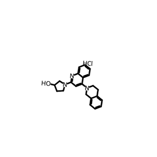 Cl.OC1CCN(c2cc(N3CCc4ccccc4C3)c3ccccc3n2)C1